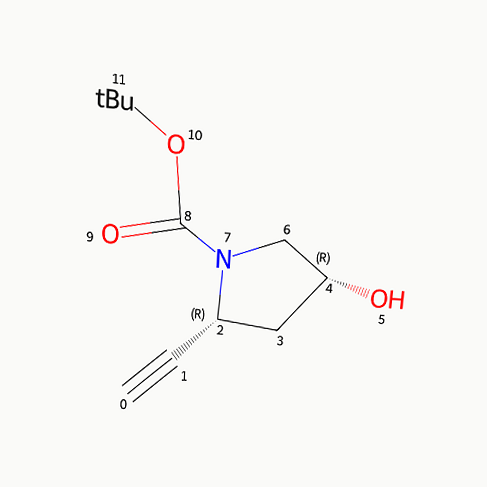 C#C[C@H]1C[C@@H](O)CN1C(=O)OC(C)(C)C